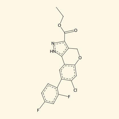 CCOC(=O)c1n[nH]c2c1COc1cc(Cl)c(-c3ccc(F)cc3F)cc1-2